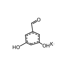 O=Cc1cc(O)cc(O)c1.[K]